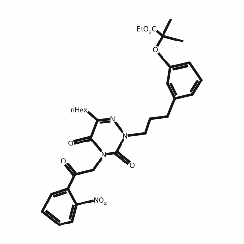 CCCCCCc1nn(CCCc2cccc(OC(C)(C)C(=O)OCC)c2)c(=O)n(CC(=O)c2ccccc2[N+](=O)[O-])c1=O